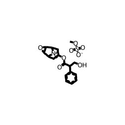 COS(=O)(=O)[O-].C[N+]1(C)C2CC(OC(=O)C(CO)c3ccccc3)CC1C1OC12